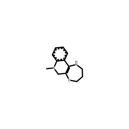 CN1CC2=C(NCCCO2)c2ccccc21